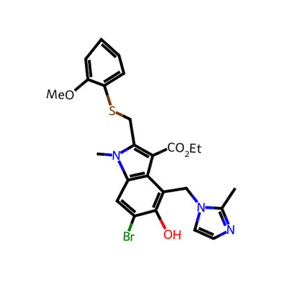 CCOC(=O)c1c(CSc2ccccc2OC)n(C)c2cc(Br)c(O)c(Cn3ccnc3C)c12